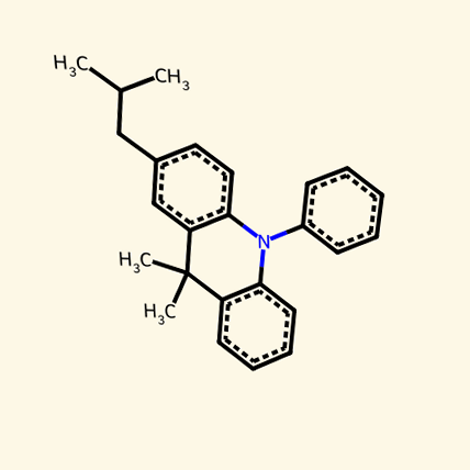 CC(C)Cc1ccc2c(c1)C(C)(C)c1ccccc1N2c1ccccc1